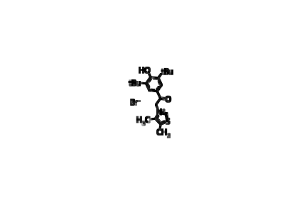 Cc1sc[n+](CC(=O)c2cc(C(C)(C)C)c(O)c(C(C)(C)C)c2)c1C.[Br-]